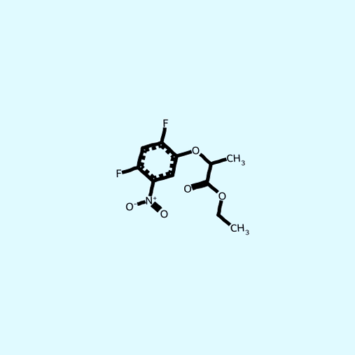 CCOC(=O)C(C)Oc1cc([N+](=O)[O-])c(F)cc1F